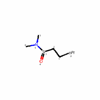 CCCCC[Si](=O)N(C)C